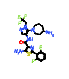 Nc1sc(-c2c(F)cccc2F)nc1C(=O)Nc1cnn(CC(F)(F)F)c1N1CCCC(N)CC1